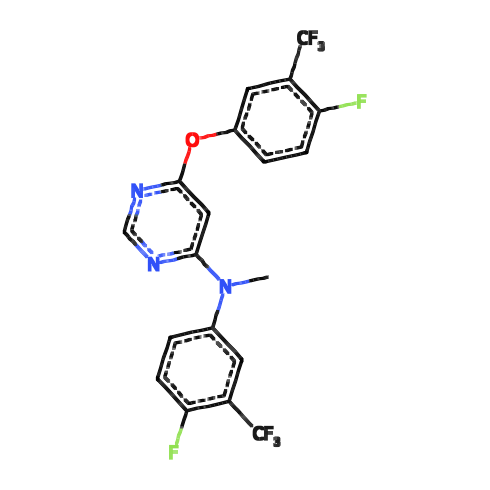 CN(c1ccc(F)c(C(F)(F)F)c1)c1cc(Oc2ccc(F)c(C(F)(F)F)c2)ncn1